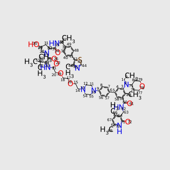 CCN(c1cc(-c2ccc(N3CCN(CCOCCOCC(=O)N[C@H](C(=O)N4C[C@H](O)C[C@H]4C(=O)N[C@@H](C)c4ccc(-c5scnc5C)cc4)C(C)(C)C)CC3)cc2)cc(C(=O)NCc2c(C)cc(C)[nH]c2=O)c1C)C1CCOCC1